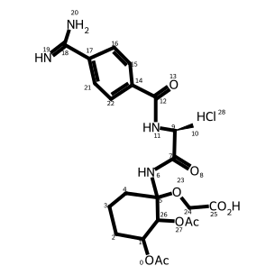 CC(=O)OC1CCCC(NC(=O)[C@H](C)NC(=O)c2ccc(C(=N)N)cc2)(OCC(=O)O)C1OC(C)=O.Cl